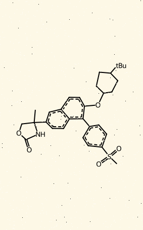 CC1(c2ccc3c(-c4ccc(S(C)(=O)=O)cc4)c(OC4CCC(C(C)(C)C)CC4)ccc3c2)COC(=O)N1